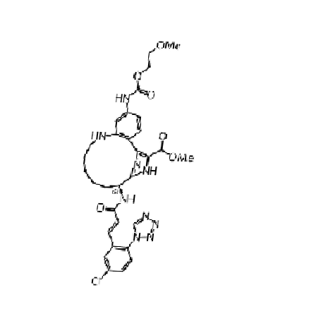 COCCOC(=O)Nc1ccc2c(c1)NCCCCC[C@H](NC(=O)C=Cc1cc(Cl)ccc1-n1cnnn1)c1nc-2c(C(=O)OC)[nH]1